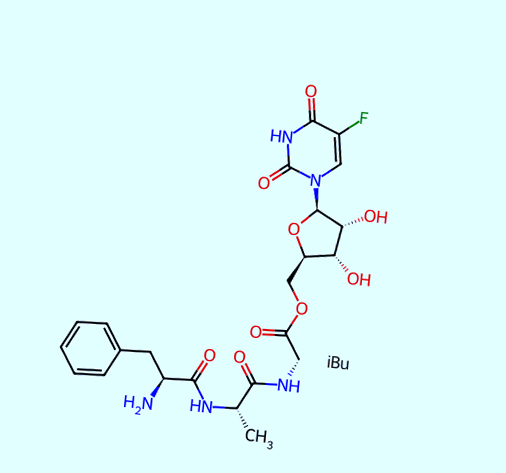 CC[C@H](C)[C@H](NC(=O)[C@H](C)NC(=O)[C@@H](N)Cc1ccccc1)C(=O)OC[C@H]1O[C@@H](n2cc(F)c(=O)[nH]c2=O)[C@H](O)[C@@H]1O